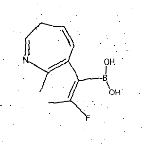 CC1=C(/C(B(O)O)=C(\C)F)C=CCC=N1